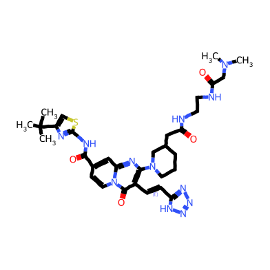 CN(C)CC(=O)NCCNC(=O)CC1CCCN(c2nc3cc(C(=O)Nc4nc(C(C)(C)C)cs4)ccn3c(=O)c2/C=C/c2nnn[nH]2)C1